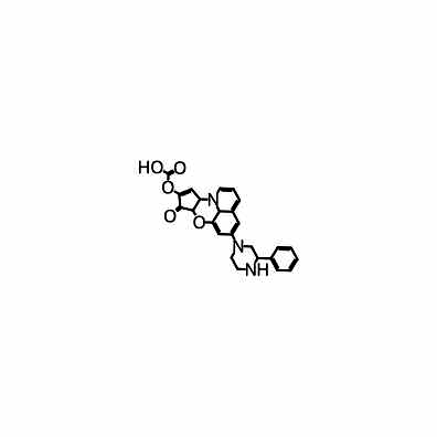 O=C(O)OC1=CC2C(OC3=CC(N4CCNC(c5ccccc5)C4)=CC4=CC=CN2C43)C1=O